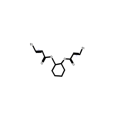 CC/C=C/C(=O)OC1CCCCC1OC(=O)/C=C/CC